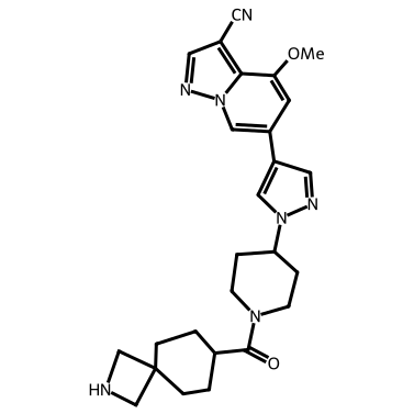 COc1cc(-c2cnn(C3CCN(C(=O)C4CCC5(CC4)CNC5)CC3)c2)cn2ncc(C#N)c12